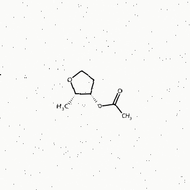 CC(=O)O[C@H]1CCO[C@H]1C